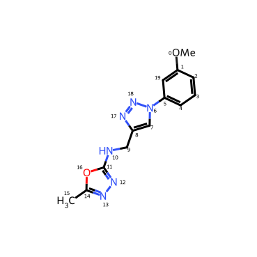 COc1cccc(-n2cc(CNc3nnc(C)o3)nn2)c1